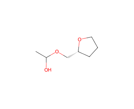 CC(O)OC[C@H]1CCCO1